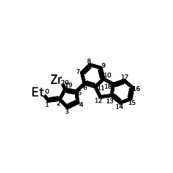 CCC=C1C=CC(c2cccc3c2Cc2ccccc2-3)=[C]1[Zr]